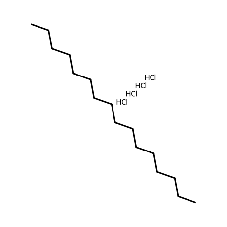 CCCCCCCCCCCCCCCC.Cl.Cl.Cl.Cl